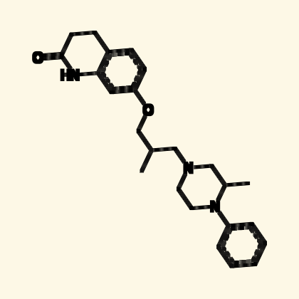 CC(COc1ccc2c(c1)NC(=O)CC2)CN1CCN(c2ccccc2)C(C)C1